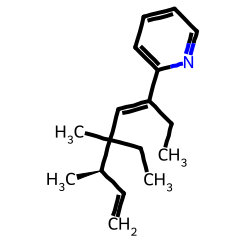 C=C[C@@H](C)C(C)(/C=C(\CC)c1ccccn1)CC